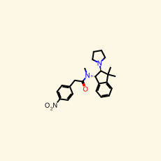 CN(C(=O)Cc1ccc([N+](=O)[O-])cc1)[C@H]1c2ccccc2C(C)(C)[C@@H]1N1CCCC1